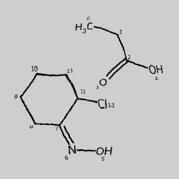 CCC(=O)O.O/N=C1/CCCCC1Cl